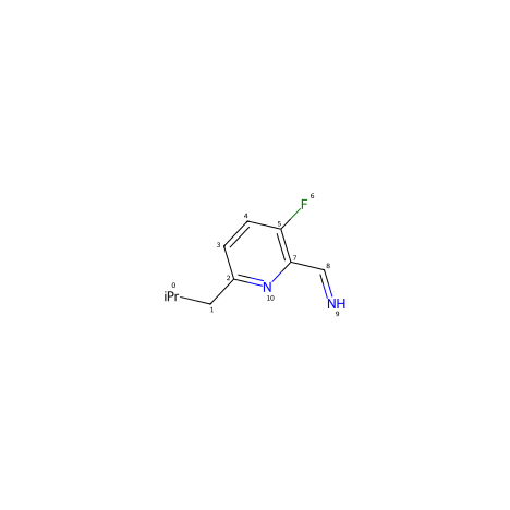 CC(C)Cc1ccc(F)c(C=N)n1